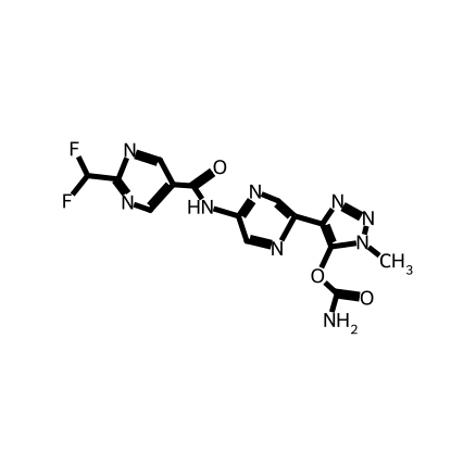 Cn1nnc(-c2cnc(NC(=O)c3cnc(C(F)F)nc3)cn2)c1OC(N)=O